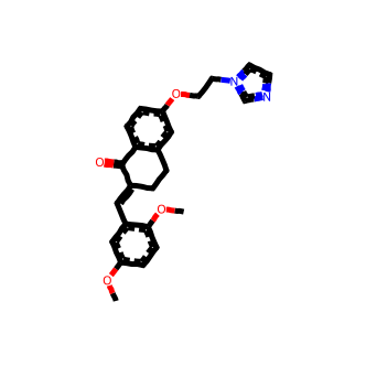 COc1ccc(OC)c(C=C2CCc3cc(OCCn4ccnc4)ccc3C2=O)c1